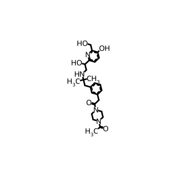 CC(=O)N1CCN(C(=O)Cc2cccc(CC(C)(C)NCC(O)c3ccc(O)c(CO)n3)c2)CC1